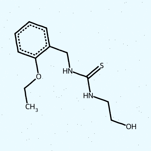 CCOc1ccccc1CNC(=S)NCCO